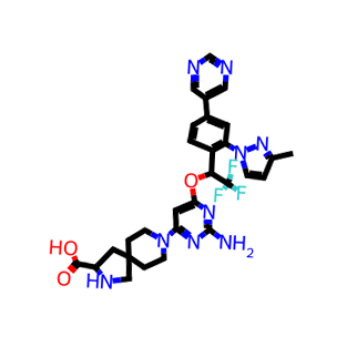 Cc1ccn(-c2cc(-c3cncnc3)ccc2C(Oc2cc(N3CCC4(CC3)CNC(C(=O)O)C4)nc(N)n2)C(F)(F)F)n1